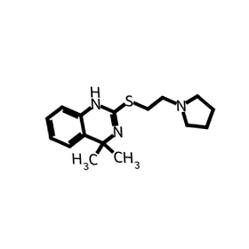 CC1(C)N=C(SCCN2CCCC2)Nc2ccccc21